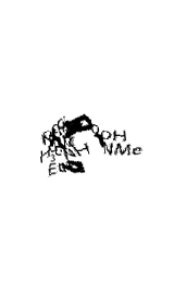 CCN1CCC[C@H]1CNc1nc(-c2cc(OC[C@@H](O)CNC)ccc2Cl)nc(-c2c(C)noc2C)c1C